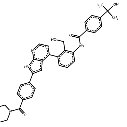 CC(C)(O)c1ccc(C(=O)Nc2cccc(-c3ncnc4[nH]c(-c5ccc(C(=O)N6CCOCC6)cc5)cc34)c2CO)cc1